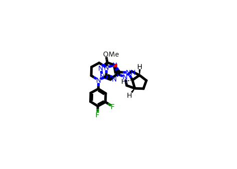 COc1cc(N2C[C@H]3CC[C@@H](C2)[C@@H]3Nc2nc3n(n2)CCCN3c2ccc(F)c(F)c2)cnn1